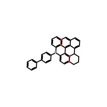 c1ccc(-c2ccc(N(c3ccccc3)c3ccccc3-c3cccc4cccc(C5CCCCC5)c34)cc2)cc1